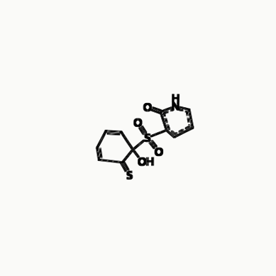 O=c1[nH]cccc1S(=O)(=O)C1(O)C=CC=CC1=S